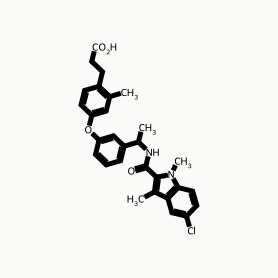 Cc1cc(Oc2cccc(C(C)NC(=O)c3c(C)c4cc(Cl)ccc4n3C)c2)ccc1CCC(=O)O